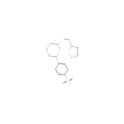 C[C@@H](OC1CCCC(c2ccc(S(C)(=O)=O)cc2)N1)C1CCCS1